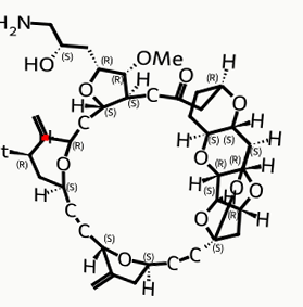 C=C1C[C@@H]2CC[C@@]34C[C@H]5O[C@H]6[C@@H](O3)[C@H]3O[C@H](CC[C@@H]3O[C@H]6[C@H]5O4)CC(=O)C[C@@H]3[C@@H](OC)[C@@H](C[C@H](O)CN)O[C@H]3C[C@H]3O[C@@H](CC[C@@H]1O2)C[C@@H](CC)C3=C